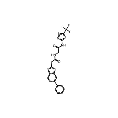 O=C(Cc1nc2ccc(-c3ccccc3)cc2s1)NCC(=O)Nc1nnc(C(F)(F)F)s1